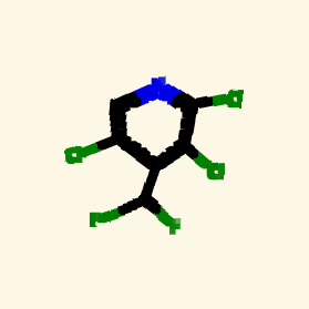 FC(F)c1c(Cl)cnc(Cl)c1Cl